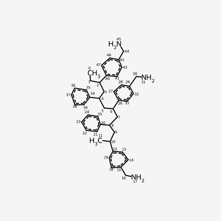 CCC(CC(CC(CC(CC(C)c1ccc(CN)cc1)c1ccccc1)c1ccc(CN)cc1)c1ccccc1)c1ccc(CN)cc1